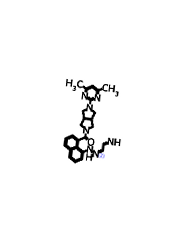 Cc1cc(C)nc(N2CC3CN(C(=O)c4cccc5cccc(N/N=C\C=N)c45)CC3C2)n1